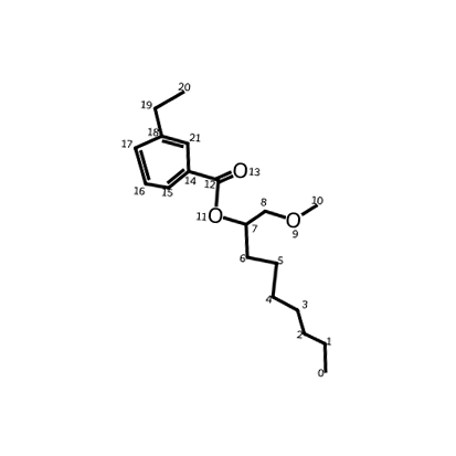 CCCCCCCC(COC)OC(=O)c1cccc(CC)c1